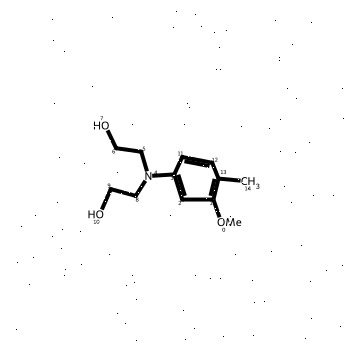 COc1cc(N(CCO)CCO)ccc1C